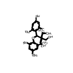 Cc1cc(C(C)(C)C)cc(C(C)(C)C)c1OC(c1c(C)cc(C(C)(C)C)cc1C(C)(C)C)C(CO)(CO)CO